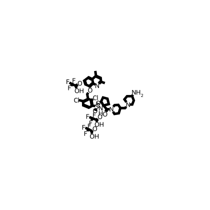 Cc1cc(C)c2cccc(OCc3c(Cl)ccc(S(=O)(=O)NC4(C(=O)N5CCC(CN6CCC(N)CC6)CC5)CCCC4)c3Cl)c2n1.O=C(O)C(F)(F)F.O=C(O)C(F)(F)F.O=C(O)C(F)(F)F